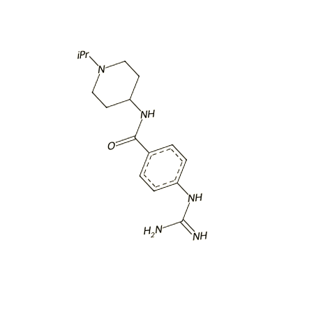 CC(C)N1CCC(NC(=O)c2ccc(NC(=N)N)cc2)CC1